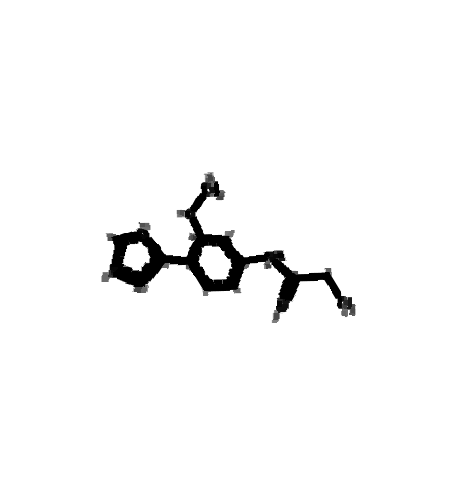 CCC(=O)Nc1ccc(-c2cnco2)c(OC)c1